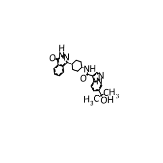 CC(C)(O)c1ccc2c(C(=O)N[C@H]3CC[C@H](c4n[nH]c(=O)c5ccccc54)CC3)cnn2c1